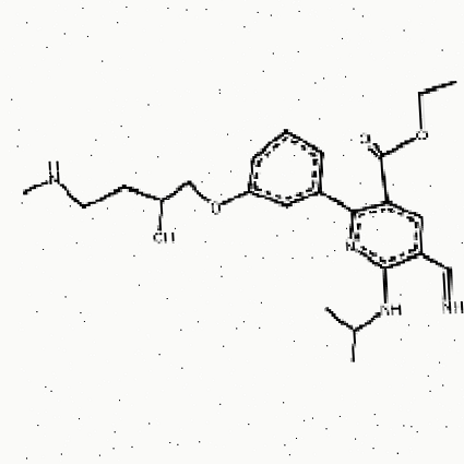 CCOC(=O)c1cc(C=N)c(NC(C)C)nc1-c1cccc(OCC(O)CCNC)c1